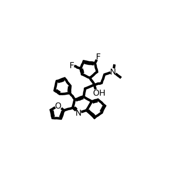 CN(C)CCC(O)(Cc1c(-c2ccccc2)c(-c2ccco2)nc2ccccc12)C1C=C(F)C=C(F)C1